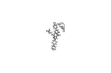 C[C@@H](CNC=N)Oc1cc(-c2cnc(Nc3cn(C4CCC(N5CCOCC5)CC4)nc3OCCOC(F)F)nc2)ccc1Cl